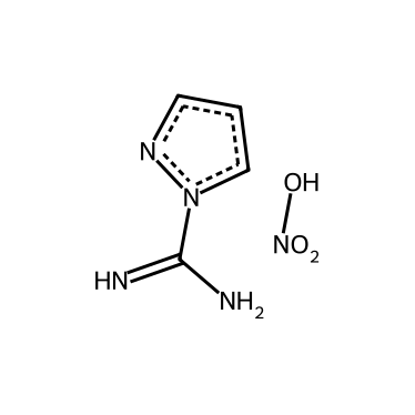 N=C(N)n1cccn1.O=[N+]([O-])O